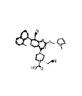 Cc1cccc2cccc(-c3ncc4c(N5CCN(C(=O)O)[C@@H](CC#N)C5)nc(OC[C@@H]5CCCN5C)nc4c3C#N)c12